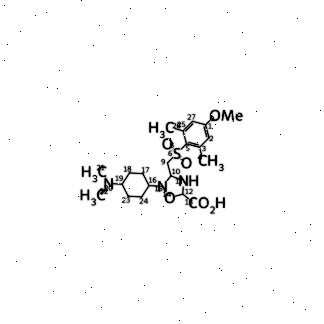 COc1cc(C)c(S(=O)(=O)CC2NC(C(=O)O)ON2C2CCC(N(C)C)CC2)c(C)c1